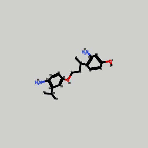 COc1ccc(C(C)CCOc2ccc(N)c(C(C)C)c2)c(N)c1